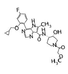 COCC(=O)N1CC[C@H](NC(=O)c2c(C)[nH]c3c(-c4ccc(F)cc4OCC4CC4)ncnc23)[C@H](O)C1